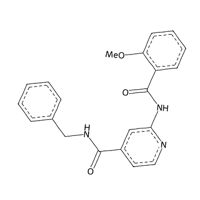 COc1ccccc1C(=O)Nc1cc(C(=O)NCc2ccccc2)ccn1